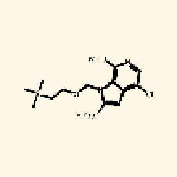 CCOC(=O)c1cc2c(Cl)cnc(OC)c2n1COCC[Si](C)(C)C